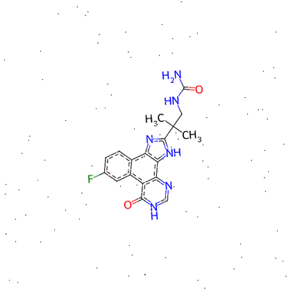 CC(C)(CNC(N)=O)c1nc2c3ccc(F)cc3c3c(=O)[nH]cnc3c2[nH]1